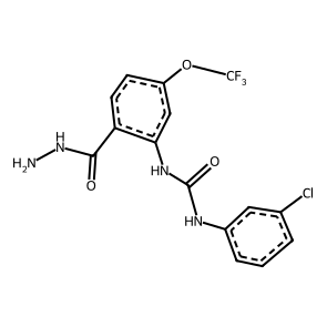 NNC(=O)c1ccc(OC(F)(F)F)cc1NC(=O)Nc1cccc(Cl)c1